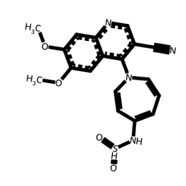 COc1cc2ncc(C#N)c(N3C=CC=C(N[SH](=O)=O)C=C3)c2cc1OC